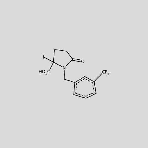 O=C1CCC(I)(C(=O)O)N1Cc1cccc(C(F)(F)F)c1